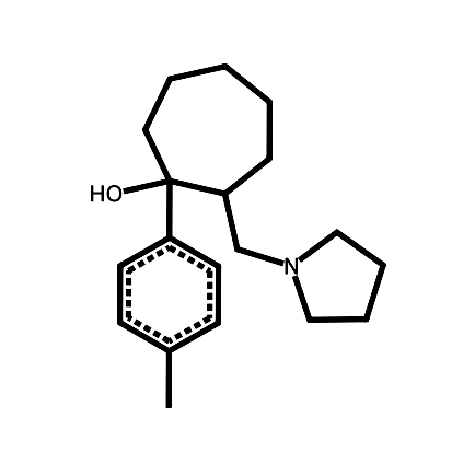 Cc1ccc(C2(O)CCCCCC2CN2CCCC2)cc1